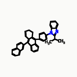 CC(C)c1nc2ccccc2n1-c1ccc(-c2c3c(c(-c4ccc5ccccc5c4)c4ccccc24)C=CCC3)cc1